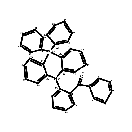 O=C(c1ccccc1)c1ccccc1N1c2ccccc2[Si](c2ccccc2)(c2ccccc2)c2ccccc21